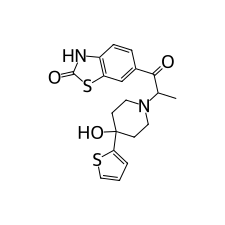 CC(C(=O)c1ccc2[nH]c(=O)sc2c1)N1CCC(O)(c2cccs2)CC1